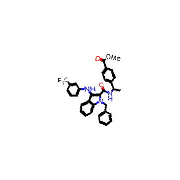 COC(=O)c1ccc(C(C)NC(=O)c2c(Nc3cccc(C(F)(F)F)c3)c3ccccc3n2Cc2ccccc2)cc1